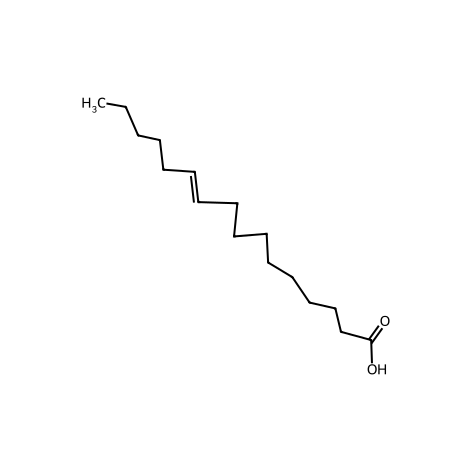 CCCCCC=CCCCCCCCCC(=O)O